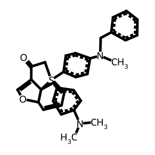 CN(C)c1ccc(S2(c3ccc(N(C)Cc4ccccc4)cc3)CC(=O)C3=COC4C=CC=CC342)cc1